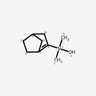 C[Si](C)(O)C1=C2CCC(C2)C1